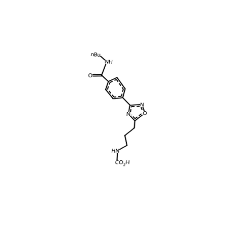 CCCCNC(=O)c1ccc(-c2noc(CCCNC(=O)O)n2)cc1